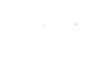 COc1ccc(CC2CN(C(=O)OC(C)(C)C)CCO2)cc1I